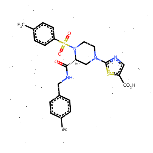 CC(C)c1ccc(CNC(=O)[C@H]2CN(c3ncc(C(=O)O)s3)CCN2S(=O)(=O)c2ccc(C(F)(F)F)cc2)cc1